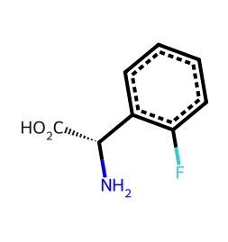 N[C@H](C(=O)O)c1ccccc1F